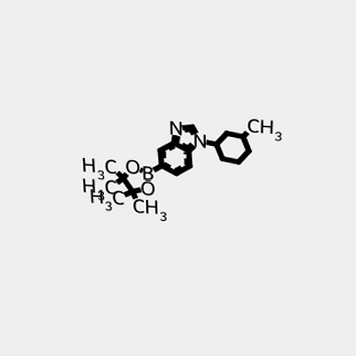 CC1CCCC(n2cnc3cc(B4OC(C)(C)C(C)(C)O4)ccc32)C1